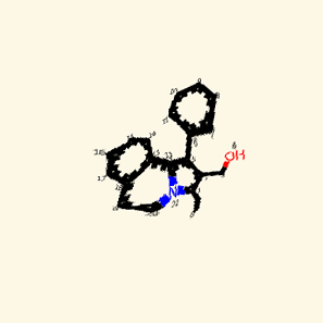 Cc1c(CO)c(-c2ccccc2)c2c3ccccc3ccn12